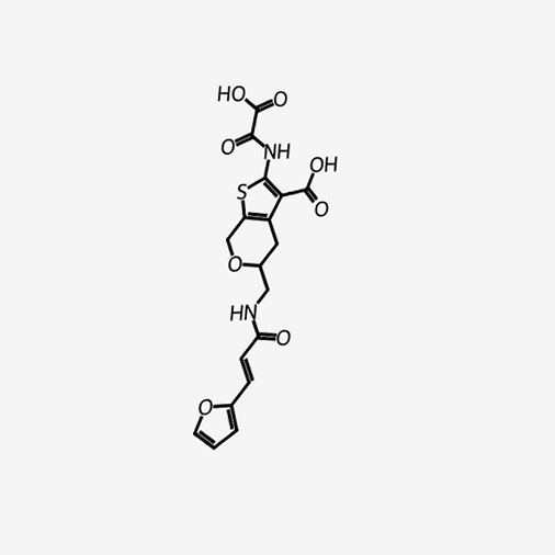 O=C(C=Cc1ccco1)NCC1Cc2c(sc(NC(=O)C(=O)O)c2C(=O)O)CO1